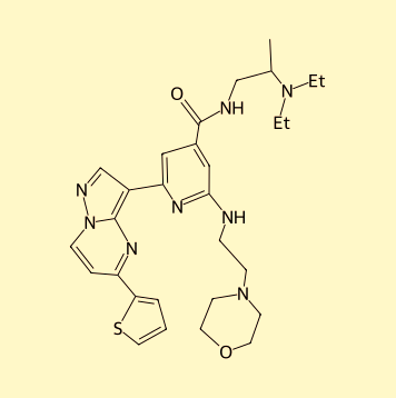 CCN(CC)C(C)CNC(=O)c1cc(NCCN2CCOCC2)nc(-c2cnn3ccc(-c4cccs4)nc23)c1